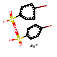 O=S(=O)([O-])c1ccc(Br)cc1.O=S(=O)([O-])c1ccc(Br)cc1.[Mg+2]